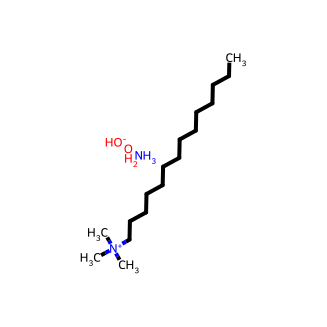 CCCCCCCCCCCCCC[N+](C)(C)C.N.O.[OH-]